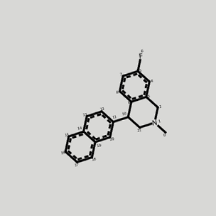 CN1Cc2cc(F)ccc2C(c2ccc3ccccc3c2)C1